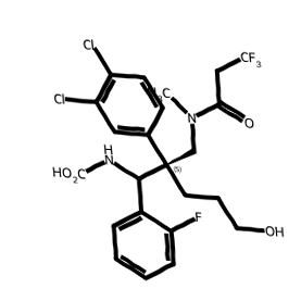 CN(C[C@](CCCO)(c1ccc(Cl)c(Cl)c1)C(NC(=O)O)c1ccccc1F)C(=O)CC(F)(F)F